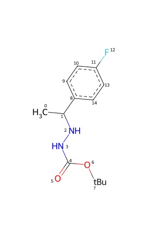 CC(NNC(=O)OC(C)(C)C)c1ccc(F)cc1